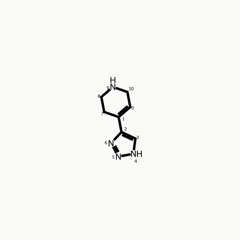 C1=C(c2c[nH]nn2)CCNC1